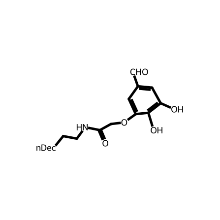 CCCCCCCCCCCCNC(=O)COc1cc(C=O)cc(O)c1O